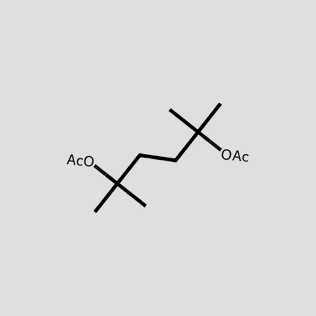 CC(=O)OC(C)(C)CCC(C)(C)OC(C)=O